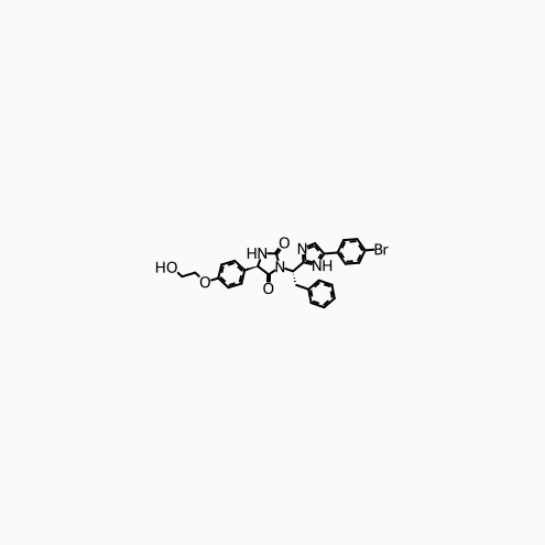 O=C1N[C@H](c2ccc(OCCO)cc2)C(=O)N1[C@@H](Cc1ccccc1)c1ncc(-c2ccc(Br)cc2)[nH]1